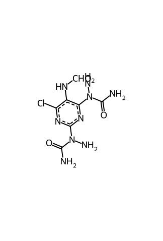 NC(=O)N(N)c1nc(Cl)c(NC=O)c(N(N)C(N)=O)n1